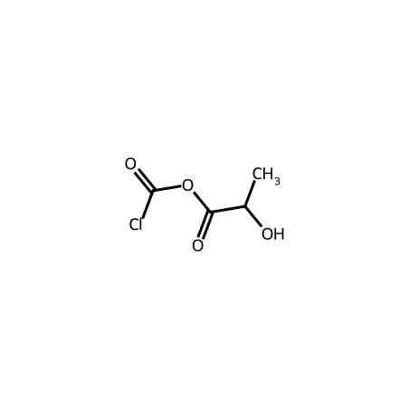 CC(O)C(=O)OC(=O)Cl